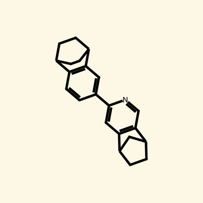 c1cc2c(cc1-c1cc3c(cn1)C1CCC3C1)C1CCC2CC1